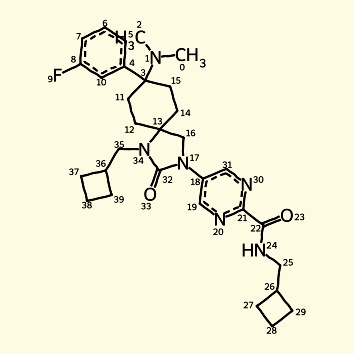 CN(C)C1(c2cccc(F)c2)CCC2(CC1)CN(c1cnc(C(=O)NCC3CCC3)nc1)C(=O)N2CC1CCC1